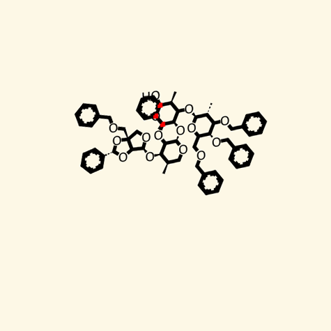 CC1OC(O)[C@@H](C)C(O[C@@H]2OC(COCc3ccccc3)[C@@H](OCc3ccccc3)C(OCc3ccccc3)[C@H]2C)[C@H]1O[C@@H]1OC[C@@H](C)[C@@H](O[C@@H]2OC[C@@]3(COCc4ccccc4)O[C@@H](c4ccccc4)OC23)C1OCc1ccccc1